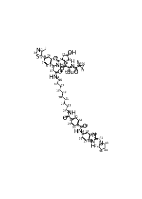 Cc1ncsc1-c1ccc([C@H](CC(=O)NCCCCCCCCCCNC(=O)c2ccc(C(=O)Nc3ccc4[nH]c(CN5CCC[C@@H]5C)nc4c3)cc2)NC(=O)[C@@H]2C[C@@H](O)CN2C(=O)[C@@H](NC(=O)C2(F)CC2)C(C)(C)C)cc1